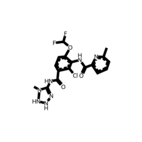 Cc1cccc(C(=O)Nc2c(OC(F)F)ccc(C(=O)NC3=NNNN3C)c2Cl)n1